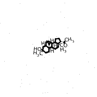 CC(=O)[C@H]1CC[C@H]2[C@@H]3CC[C@@H]4C[C@](C)(O)CC[C@]4(C4CC4)[C@H]3CC[C@]12C